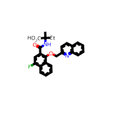 CCC(C)(NC(=O)c1cc(F)c2ccccc2c1OCc1ccc2ccccc2n1)C(=O)O